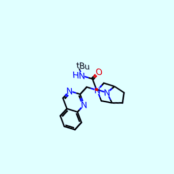 CC(C)(C)NC(=O)CN1C2CCC1CN(Cc1ncc3ccccc3n1)C2